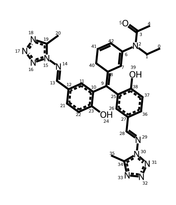 CCN(C(C)=O)C1=CC(=C(c2cc(C=Nn3nnnc3C)ccc2O)c2cc(C=Nn3nnnc3C)ccc2O)CC=C1